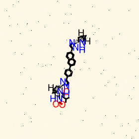 COC(=O)NC(C(=O)N1[C@@H]2C[C@@H]2C[C@H]1c1nc(-c2ccc(-c3ccc4cc(-c5cnc([C@@H]6C[C@H]7C[C@H]7N6)[nH]5)ccc4c3)cc2)c[nH]1)C(C)C